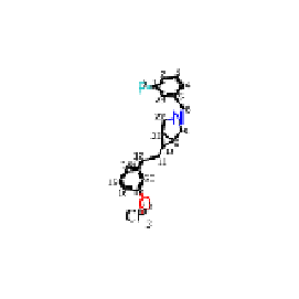 Fc1cccc(CN2CC3C(C[CH]c4cccc(OC(F)(F)F)c4)C3C2)c1